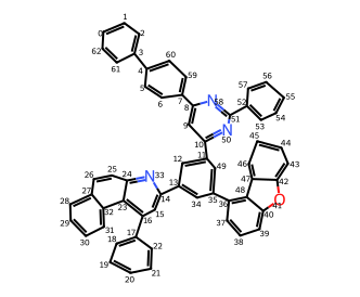 c1ccc(-c2ccc(-c3cc(-c4cc(-c5cc(-c6ccccc6)c6c(ccc7ccccc76)n5)cc(-c5cccc6oc7ccccc7c56)c4)nc(-c4ccccc4)n3)cc2)cc1